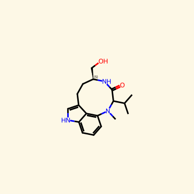 CC(C)C1C(=O)N[C@H](CO)CCc2c[nH]c3cccc(c23)N1C